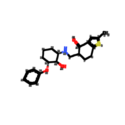 Cc1cc2c(s1)CCC(CN[C@H]1CCC[C@@H](Oc3ccccc3)[C@@H]1O)C2=O